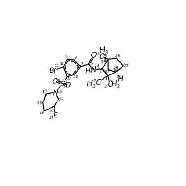 CC1(C)C(NC(=O)c2ccc(Br)c(S(=O)(=O)N3CCCC(F)C3)c2)[C@]2(C)CC[C@@H]1C2